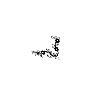 CN(CCOc1ccc(C(=O)NCc2ccc(F)c(C=O)c2)c(F)c1)C(=O)CC(C)(C)CC(=O)N(C)CCc1ccc(NC(=O)[C@](C)(N)CC(C)(C)C)cc1